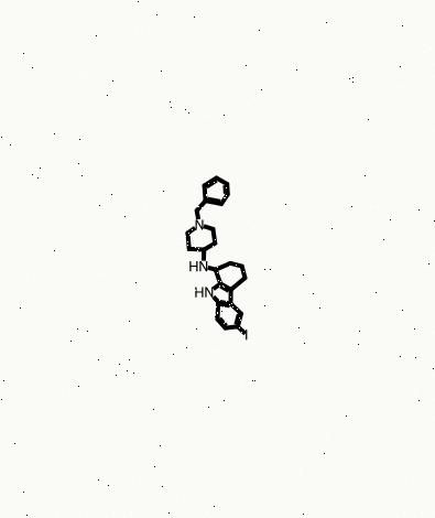 Ic1ccc2[nH]c3c(c2c1)CCCC3NC1CCN(Cc2ccccc2)CC1